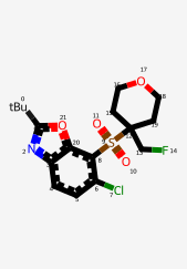 CC(C)(C)c1nc2ccc(Cl)c(S(=O)(=O)C3(CF)CCOCC3)c2o1